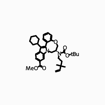 C=CC(C)(C)CCN(C(=O)OC(C)(C)C)[C@H]1COc2ccccc2-c2c(C3CCCCC3)c3ccc(C(=O)OC)cc3n2C1